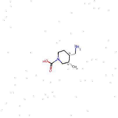 C[C@@H]1CN(C(=O)O)CC[C@@H]1CN